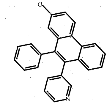 Clc1ccc2c(c1)c(-c1ccccc1)c(-c1cccnc1)c1ccccc12